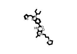 CCC(CC)n1c(Cc2cccs2)nc2cc(C(=O)NC(CC(C)C)C(=O)NCCCN3CCCC3)ccc21